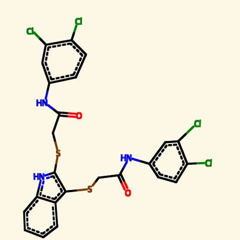 O=C(CSc1[nH]c2ccccc2c1SCC(=O)Nc1ccc(Cl)c(Cl)c1)Nc1ccc(Cl)c(Cl)c1